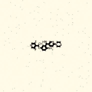 CC(Oc1ccc(N)c(C(=N)c2ccc(N3CCSCC3)nc2)c1)c1c(F)cncc1F